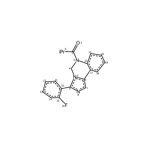 CC(C)C(=O)N1Cn2c(cnc2-c2ccccc2F)-c2ccccc21